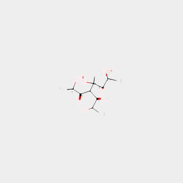 CC(O)C(=O)C(C(=O)C(C)O)C(O)(C(=O)O)C(=O)C(C)O